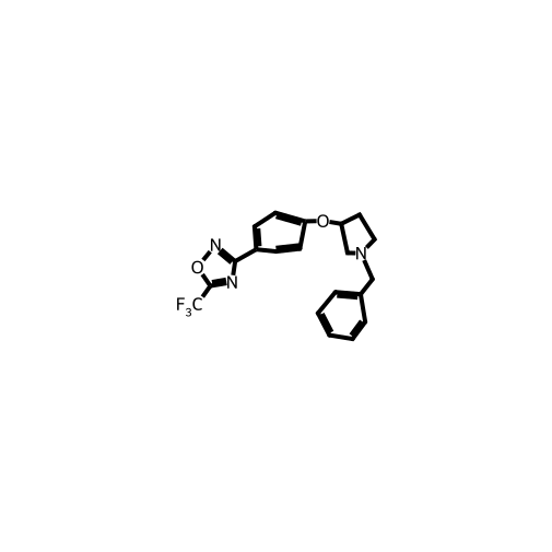 FC(F)(F)c1nc(-c2ccc(OC3CCN(Cc4ccccc4)C3)cc2)no1